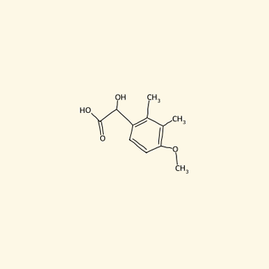 COc1ccc(C(O)C(=O)O)c(C)c1C